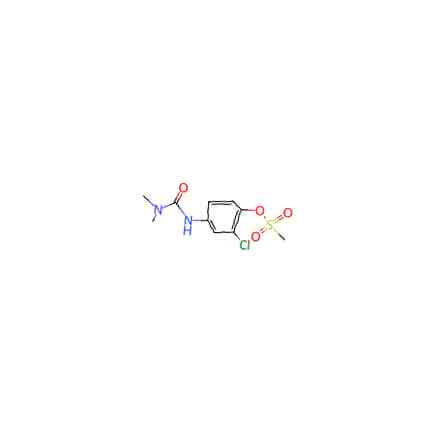 CN(C)C(=O)Nc1ccc(OS(C)(=O)=O)c(Cl)c1